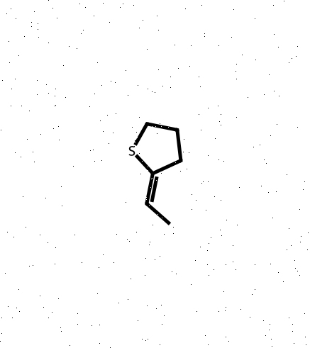 C/C=C1\CCCS1